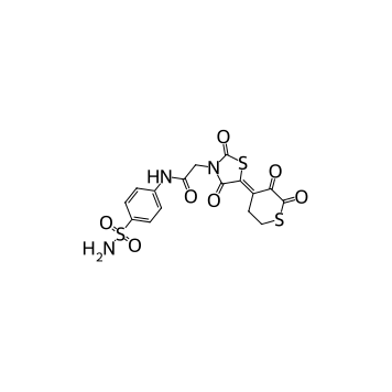 NS(=O)(=O)c1ccc(NC(=O)CN2C(=O)SC(=C3CCSC(=O)C3=O)C2=O)cc1